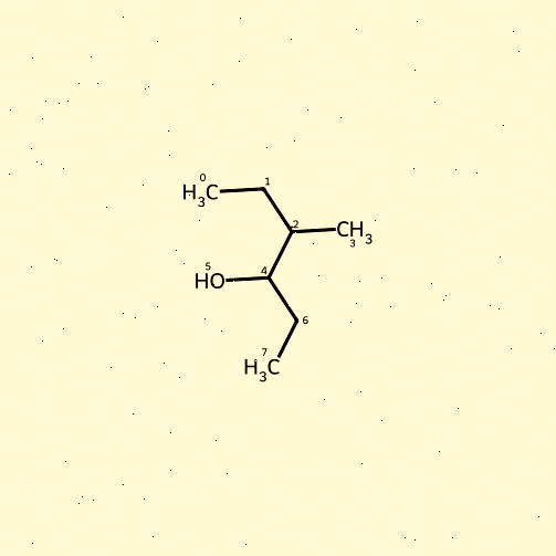 CC[C](C)C(O)CC